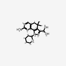 CC1(C)Cc2cnc(N)nc2-c2c1c(C(O)O)nn2C1CCCCO1